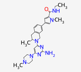 CCNC(=O)c1cc(-c2ccc3c(c2)CN(c2cc(N4CCN(C)CC4)nc(N)n2)C(C)C3)cn1C